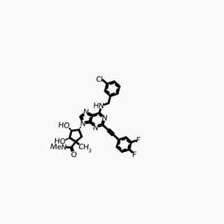 CNC(=O)C1(C)C[C@@H](n2cnc3c(NCc4cccc(Cl)c4)nc(C#Cc4ccc(F)c(F)c4)nc32)[C@H](O)[C@@H]1O